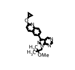 COC(C)(C)Cn1nc(-c2ccc3nc(OC4CC4)ccc3c2)c2cncnc21